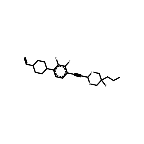 C=CC1CCC(c2ccc(C#CC3OCC(F)(CCC)CO3)c(F)c2F)CC1